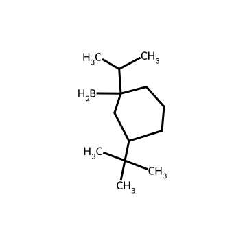 BC1(C(C)C)CCCC(C(C)(C)C)C1